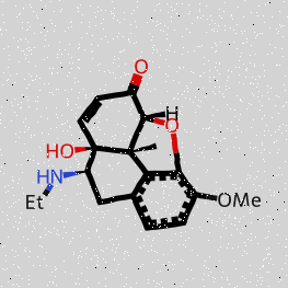 CCN[C@@H]1Cc2ccc(OC)c3c2[C@@]2(C)[C@@H](O3)C(=O)C=C[C@@]12O